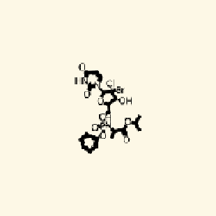 CC(C)OC(=O)C(C)N[P@](=O)(OC[C@H]1O[C@@H](n2ccc(=O)[nH]c2=O)[C@@](Cl)(Br)[C@@H]1O)Oc1ccccc1